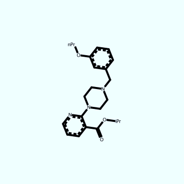 CCCOc1cccc(CN2CCN(c3ncccc3C(=O)OC(C)C)CC2)c1